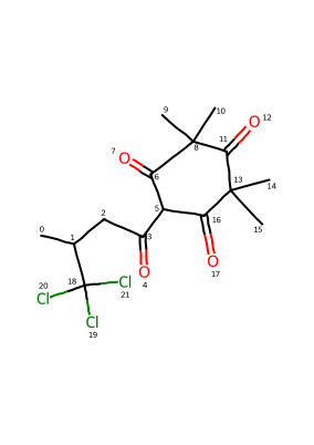 CC(CC(=O)C1C(=O)C(C)(C)C(=O)C(C)(C)C1=O)C(Cl)(Cl)Cl